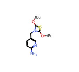 CC(C)(C)OC1=S=C(OC(C)(C)C)N1Cc1ccc(N)nc1